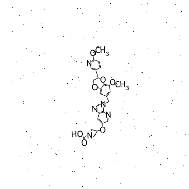 COc1ccc(C2COc3cc(Cn4cnc5cc(OC6CN(C(=O)O)C6)cnc54)cc(OC)c3O2)cn1